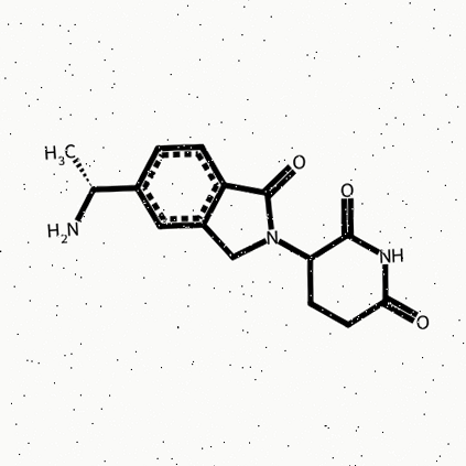 C[C@@H](N)c1ccc2c(c1)CN(C1CCC(=O)NC1=O)C2=O